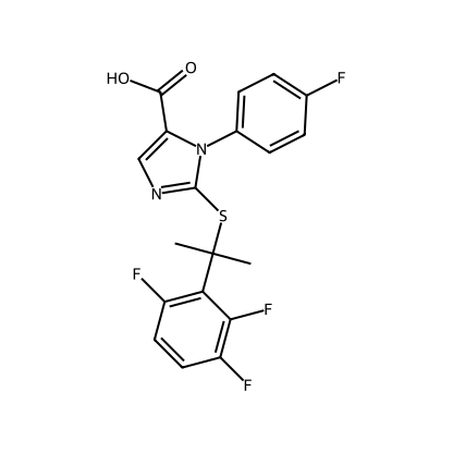 CC(C)(Sc1ncc(C(=O)O)n1-c1ccc(F)cc1)c1c(F)ccc(F)c1F